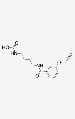 C#CCOc1cccc(C(=O)NCCCCNC(=O)O)c1